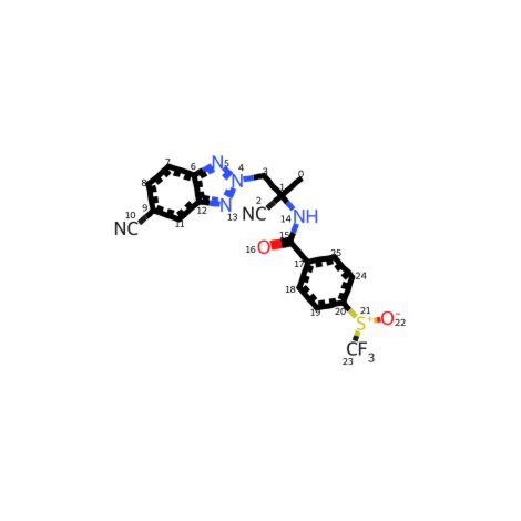 CC(C#N)(Cn1nc2ccc(C#N)cc2n1)NC(=O)c1ccc([S+]([O-])C(F)(F)F)cc1